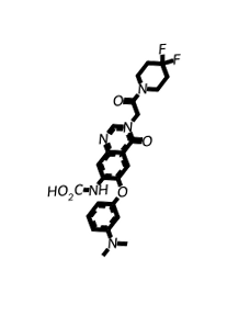 CN(C)c1cccc(Oc2cc3c(=O)n(CC(=O)N4CCC(F)(F)CC4)cnc3cc2NC(=O)O)c1